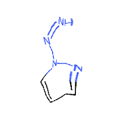 N=Nn1cccn1